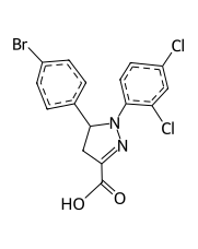 O=C(O)C1=NN(c2ccc(Cl)cc2Cl)C(c2ccc(Br)cc2)C1